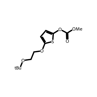 COC(=O)Oc1ccc(OCCOC(C)(C)C)s1